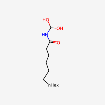 CCCCCCCCCCCC(=O)NC(O)O